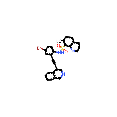 Cc1ccc2cccnc2c1S(=O)(=O)Nc1ccc(Br)cc1C#Cc1cncc2ccccc12